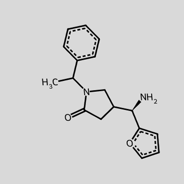 CC(c1ccccc1)N1CC([C@@H](N)c2ccco2)CC1=O